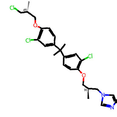 C[C@@H](CCl)COc1ccc(C(C)(C)c2ccc(OC[C@H](C)Cn3ccnc3)c(Cl)c2)cc1Cl